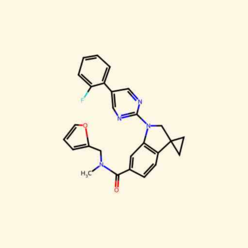 CN(Cc1ccco1)C(=O)c1ccc2c(c1)N(c1ncc(-c3ccccc3F)cn1)CC21CC1